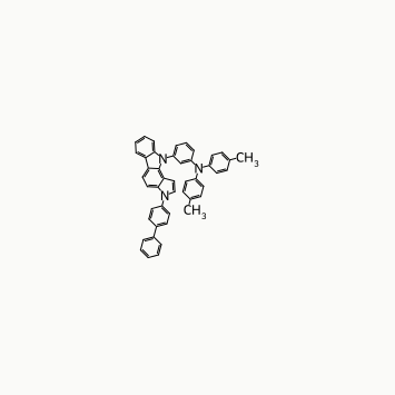 Cc1ccc(N(c2ccc(C)cc2)c2cccc(-n3c4ccccc4c4ccc5c(ccn5-c5ccc(-c6ccccc6)cc5)c43)c2)cc1